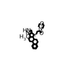 C[C@]12CCC3c4ccccc4CCC3C1[C@H](CCC(=O)N1CCOCC1)c1c[nH]nc12